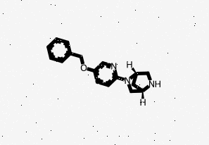 c1ccc(COc2ccc(N3C[C@@H]4C[C@H]3CN4)nc2)cc1